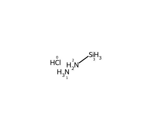 Cl.N.N[SiH3]